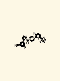 Cn1ncnc1-c1ccc(F)c(N2CCN(C(=O)N3N=CC[C@H]3c3cc(F)cc(C#N)c3)CC2)n1